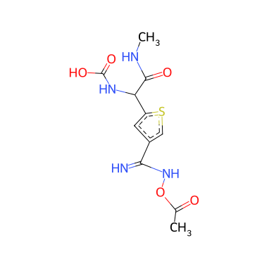 CNC(=O)C(NC(=O)O)c1cc(C(=N)NOC(C)=O)cs1